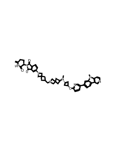 C=C1CCC(N2C(=O)c3ccc(N4CC5(CC(CN6CC7(CC(N(C)[C@H]8C[C@H](Oc9ccc(-c%10ccc%11c%12cnccc%12n(C)c%11c%10)cn9)C8)C7)C6)C5)C4)cc3C2=O)C(=O)N1